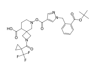 CC(C)(C)OC(=O)c1ccccc1Cn1cc(C(=O)ON2CCC(C(=O)O)C3(C2)CN(C(=O)C2(C(F)(F)F)CC2)C3)cn1